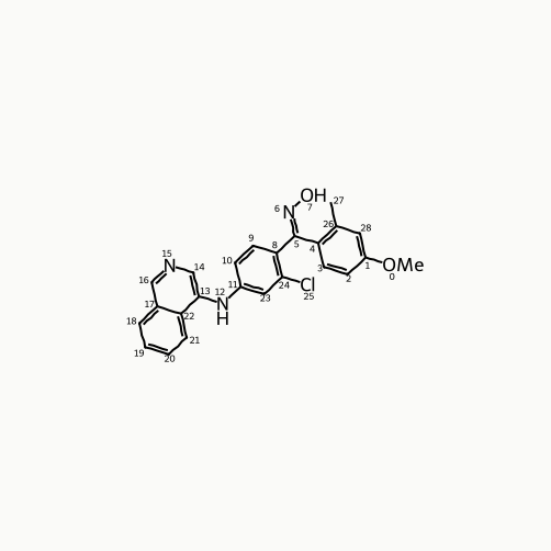 COc1ccc(C(=NO)c2ccc(Nc3cncc4ccccc34)cc2Cl)c(C)c1